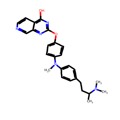 CC(CCc1ccc(N(C)c2ccc(Oc3nc(O)c4ccncc4n3)cc2)cc1)N(C)C